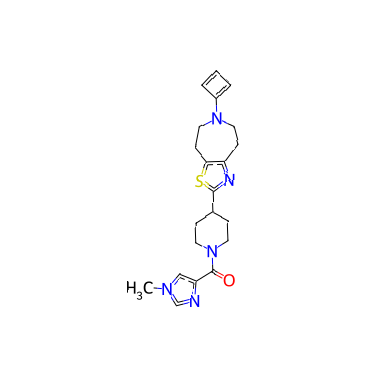 Cn1cnc(C(=O)N2CCC(c3nc4c(s3)CCN(C3=CC=C3)CC4)CC2)c1